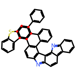 c1ccc(-c2ccccc2-c2ccccc2-c2c(-c3cccc4sc5ccccc5c34)ccc3c2-c2c4c(ccc2=N3)=c2ccccc2=N4)cc1